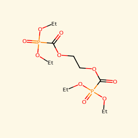 CCOP(=O)(OCC)C(=O)OCCOC(=O)P(=O)(OCC)OCC